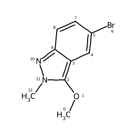 COc1c2cc(Br)ccc2nn1C